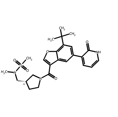 CN(C[C@H]1CCN(C(=O)c2coc3c(C(C)(C)C)cc(-c4ccc[nH]c4=O)cc23)C1)S(C)(=O)=O